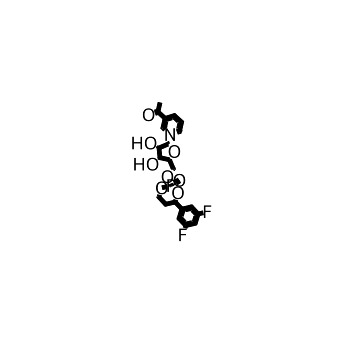 CC(=O)c1ccc[n+]([C@@H]2OC(COP3(=O)OCCC(c4cc(F)cc(F)c4)O3)[C@@H](O)[C@H]2O)c1